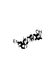 CCc1cc2c(s1)CCO[C@@]21CCN(Cc2cn(Cc3c(C)cc(C)nc3O)nn2)[C@@H](C)C1